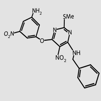 CSc1nc(NCc2ccccc2)c([N+](=O)[O-])c(Oc2cc(N)cc([N+](=O)[O-])c2)n1